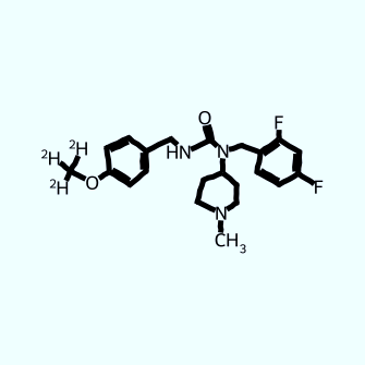 [2H]C([2H])([2H])Oc1ccc(CNC(=O)N(Cc2ccc(F)cc2F)C2CCN(C)CC2)cc1